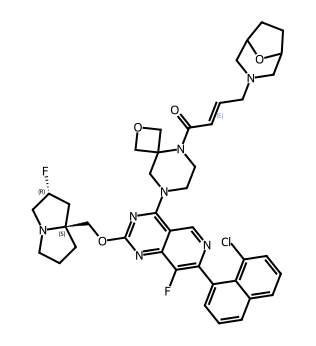 O=C(/C=C/CN1CC2CCC(C1)O2)N1CCN(c2nc(OC[C@@]34CCCN3C[C@H](F)C4)nc3c(F)c(-c4cccc5cccc(Cl)c45)ncc23)CC12COC2